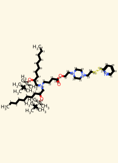 CCCCCCCCC(CN(CCCC(=O)OCCN1CCN(CCSSc2ccccn2)CC1)CC(CCCCCCCC)O[Si](C)(C)C(C)(C)C)O[Si](C)(C)C(C)(C)C